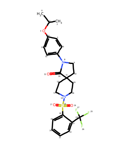 CC(C)Oc1ccc(N2CCC3(CCN(S(=O)(=O)c4ccccc4C(F)(F)F)CC3)C2=O)cc1